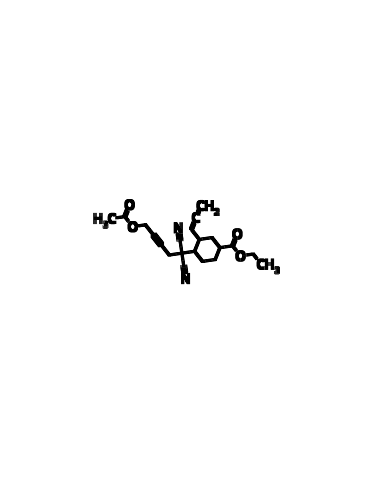 C=C=CC1CC(C(=O)OCC)CCC1C(C#N)(C#N)CC#CCOC(C)=O